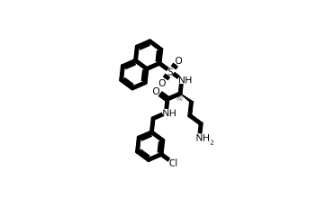 NCCC[C@H](NS(=O)(=O)c1cccc2ccccc12)C(=O)NCc1cccc(Cl)c1